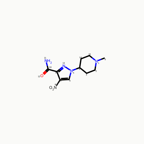 CN1CCC(n2cc([N+](=O)[O-])c(C(N)=O)n2)CC1